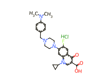 CN(C)c1ccc(CN2CCN(c3cc4c(cc3F)c(=O)c(C(=O)O)cn4C3CC3)CC2)cc1.Cl